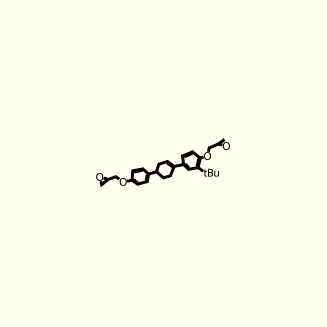 CC(C)(C)c1cc(C2=CCC(c3ccc(OCC4CO4)cc3)CC2)ccc1OCC1CO1